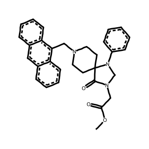 COC(=O)CN1CN(c2ccccc2)C2(CCN(Cc3c4ccccc4cc4ccccc34)CC2)C1=O